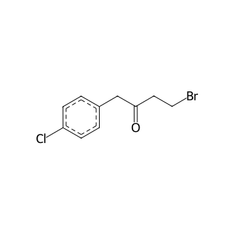 O=C(CCBr)Cc1ccc(Cl)cc1